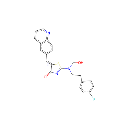 O=C1N=C(N(CO)CCc2ccc(F)cc2)S/C1=C\c1ccc2ncccc2c1